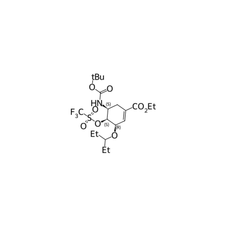 CCOC(=O)C1=C[C@@H](OC(CC)CC)[C@@H](OS(=O)(=O)C(F)(F)F)[C@@H](NC(=O)OC(C)(C)C)C1